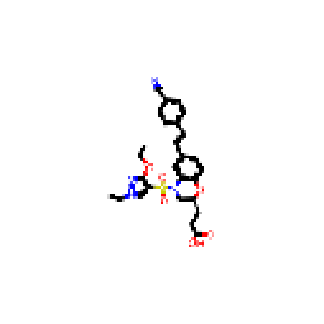 CCOc1nn(CC)cc1S(=O)(=O)N1C[C@H](CCC(=O)O)Oc2ccc(/C=C/c3ccc(C#N)cc3)cc21